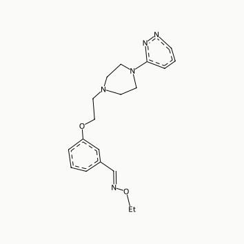 CCON=Cc1cccc(OCCN2CCN(c3cccnn3)CC2)c1